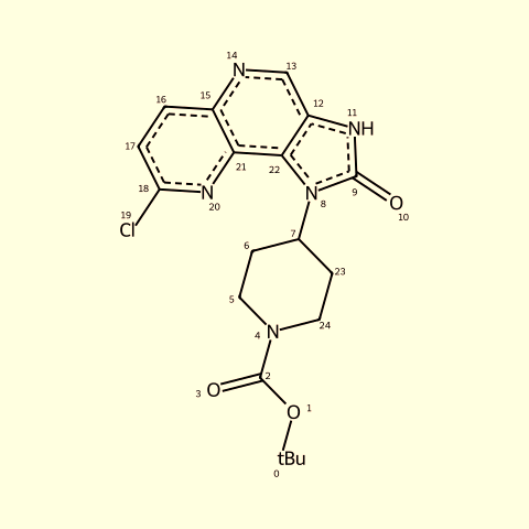 CC(C)(C)OC(=O)N1CCC(n2c(=O)[nH]c3cnc4ccc(Cl)nc4c32)CC1